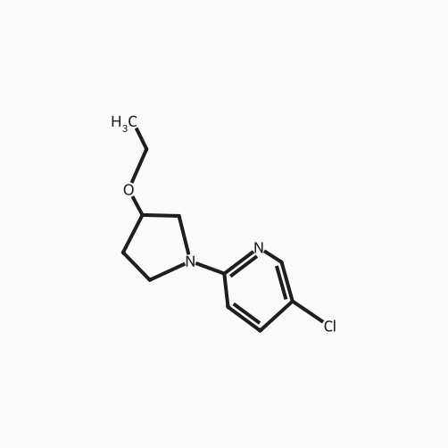 CCOC1CCN(c2ccc(Cl)cn2)C1